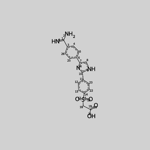 N=C(N)c1ccc(-c2c[nH]c(-c3ccc(S(=O)(=O)CC(=O)O)cc3)n2)cc1